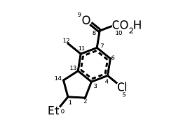 CCC1Cc2c(Cl)cc(C(=O)C(=O)O)c(C)c2C1